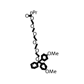 CCCC(=O)OCCOCCOCCOCCOCCOC(c1ccccc1)(c1ccc(OC)cc1)c1ccc(OC)cc1